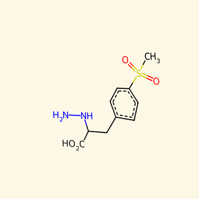 CS(=O)(=O)c1ccc(CC(NN)C(=O)O)cc1